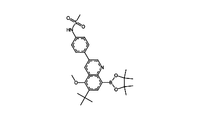 COc1c(C(C)(C)C)cc(B2OC(C)(C)C(C)(C)O2)c2ncc(-c3ccc(NS(C)(=O)=O)cc3)cc12